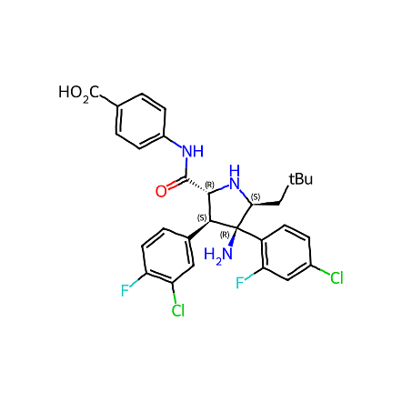 CC(C)(C)C[C@@H]1N[C@@H](C(=O)Nc2ccc(C(=O)O)cc2)[C@H](c2ccc(F)c(Cl)c2)[C@@]1(N)c1ccc(Cl)cc1F